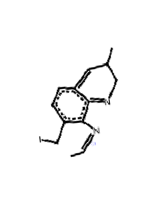 C/C=N\c1c(CI)ccc2c1=NCC(C)C=2